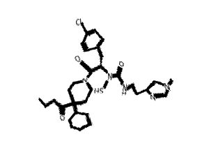 CCCC(=O)C1(C2CCCCC2)CCN(C(=O)[C@@H](Cc2ccc(Cl)cc2)N(S)C(=O)NCCc2cn(C)cn2)CC1